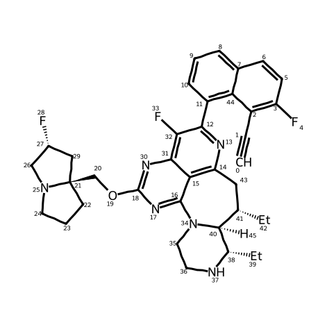 C#Cc1c(F)ccc2cccc(-c3nc4c5c(nc(OC[C@@]67CCCN6C[C@H](F)C7)nc5c3F)N3CCN[C@@H](CC)[C@@H]3[C@@H](CC)C4)c12